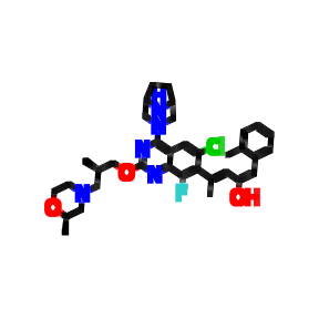 C/C(=C\C(O)=C/c1ccccc1C)c1c(Cl)cc2c(N3CC4CCC(C3)N4)nc(OC[C@H](C)CN3CCO[C@H](C)C3)nc2c1F